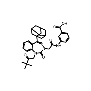 CC(C)(C)C(=O)CN1C(=O)N(CC(=O)Nc2cccc(C(=O)O)c2)N=C(C23CC4CC(CC(C4)C2)C3)c2ccccc21